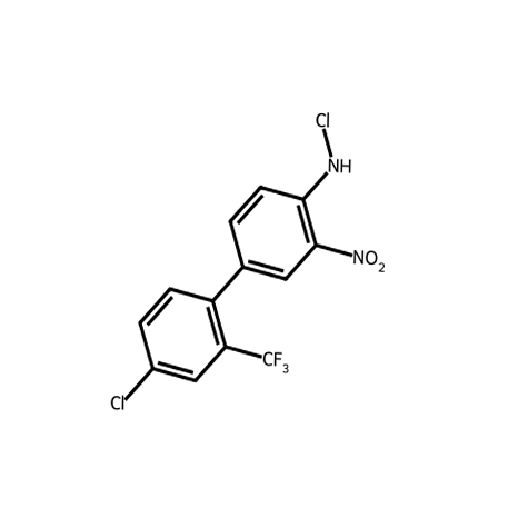 O=[N+]([O-])c1cc(-c2ccc(Cl)cc2C(F)(F)F)ccc1NCl